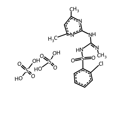 CN=C(Nc1nc(C)cc(C)n1)NS(=O)(=O)c1ccccc1Cl.O=S(=O)(O)O.O=S(=O)(O)O